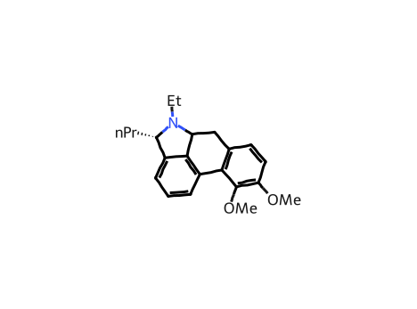 CCC[C@H]1c2cccc3c2C(Cc2ccc(OC)c(OC)c2-3)N1CC